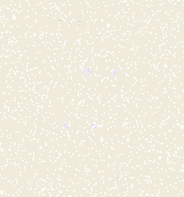 CC(C)[Si](c1ccc(-c2nc3c(-c4nccs4)c4sc(-c5ccc([Si](C(C)C)(C(C)C)C(C)C)s5)nc4c(-c4nccs4)c3s2)s1)(C(C)C)C(C)C